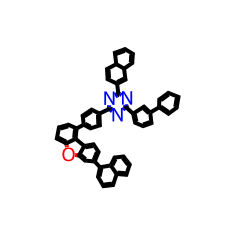 C1=CC2C=CC(c3nc(-c4ccc(-c5cccc6oc7cc(-c8cccc9ccccc89)ccc7c56)cc4)nc(-c4cccc(-c5ccccc5)c4)n3)=CC2C=C1